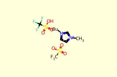 CCCCn1cc[n+](C)c1.O=S(=O)(O)C(F)(F)F.O=S(=O)([O-])C(F)(F)F